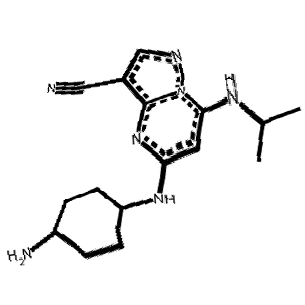 CC(C)Nc1cc(NC2CCC(N)CC2)nc2c(C#N)cnn12